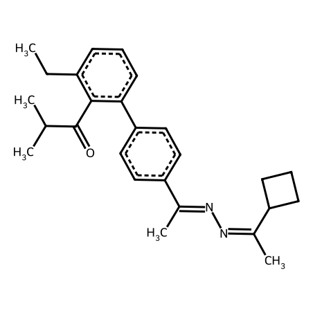 CCc1cccc(-c2ccc(/C(C)=N/N=C(/C)C3CCC3)cc2)c1C(=O)C(C)C